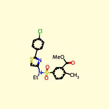 CCN(c1csc(-c2ccc(Cl)cc2)n1)S(=O)(=O)c1ccc(C)c(C(=O)OC)c1